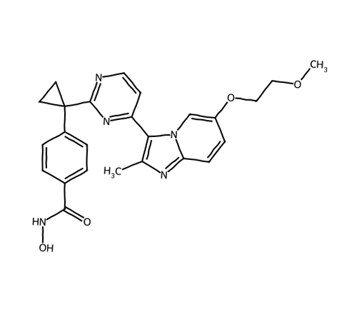 COCCOc1ccc2nc(C)c(-c3ccnc(C4(c5ccc(C(=O)NO)cc5)CC4)n3)n2c1